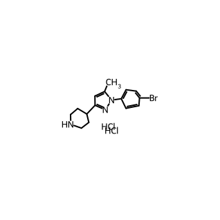 Cc1cc(C2CCNCC2)nn1-c1ccc(Br)cc1.Cl.Cl